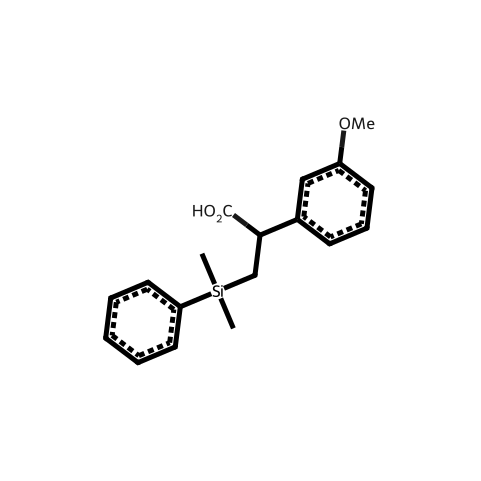 COc1cccc(C(C[Si](C)(C)c2ccccc2)C(=O)O)c1